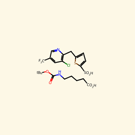 CC(C)(C)OC(=O)NCCCCC(=O)O.O=S(=O)(O)c1ccc(Cc2ncc(C(F)(F)F)cc2Cl)s1